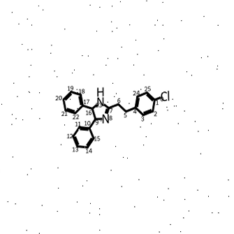 Clc1ccc(CCC2=NC(c3ccccc3)C(c3ccccc3)N2)cc1